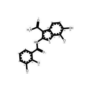 NC(=O)c1c(NC(=O)c2cccc(Cl)c2Cl)sc2c(Cl)c(O)ccc12